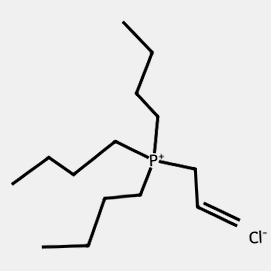 C=CC[P+](CCCC)(CCCC)CCCC.[Cl-]